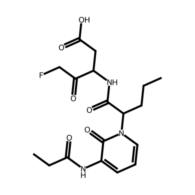 CCCC(C(=O)NC(CC(=O)O)C(=O)CF)n1cccc(NC(=O)CC)c1=O